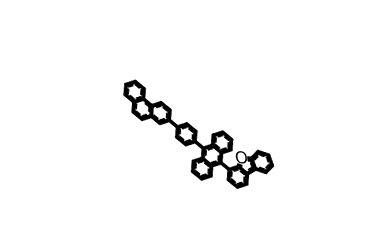 c1ccc2c(c1)ccc1cc(-c3ccc(-c4c5ccccc5c(-c5cccc6c5oc5ccccc56)c5ccccc45)cc3)ccc12